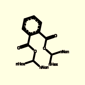 CCCCCCCCCC(CCCCCC)OC(=O)c1ccccc1C(=O)OC(CCCCCC)CCCCCCCCC